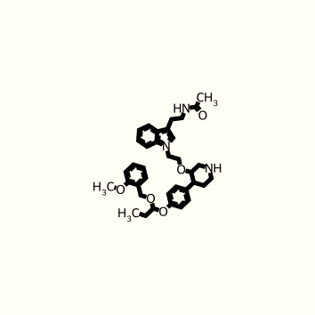 CCC(OCc1ccccc1OC)Oc1ccc(C2CCNCC2OCCn2cc(CCNC(C)=O)c3ccccc32)cc1